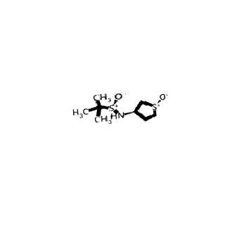 CC(C)(C)[S@@+]([O-])N[C@@H]1CC[S@@+]([O-])C1